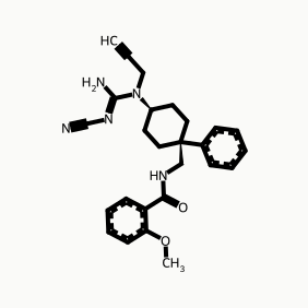 C#CCN(C(N)=NC#N)[C@H]1CC[C@](CNC(=O)c2ccccc2OC)(c2ccccc2)CC1